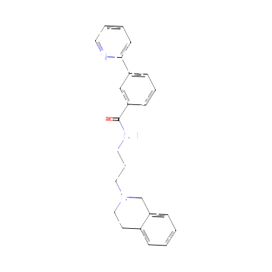 O=C(NCCCN1CCc2ccccc2C1)c1cccc(-c2ccccn2)c1